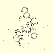 COc1cc(C(=O)NC(=O)[C@H](Cc2ccccc2)NC(=O)[C@H](C)NC(=O)[C@]2(C)NC(=O)CCCC2=O)cc2ccccc12